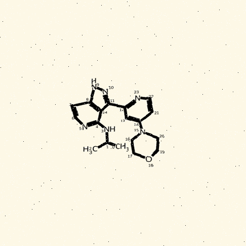 CC(C)Nc1nccc2[nH]nc(-c3cc(N4CCOCC4)ccn3)c12